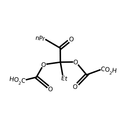 CCCC(=O)C(CC)(OC(=O)C(=O)O)OC(=O)C(=O)O